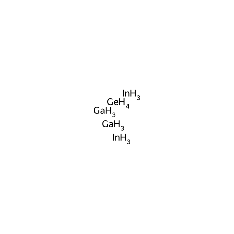 [GaH3].[GaH3].[GeH4].[InH3].[InH3]